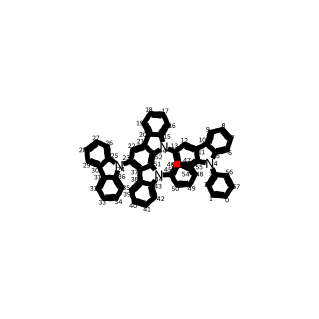 c1ccc(-n2c3ccccc3c3cc(-n4c5ccccc5c5cc(-n6c7ccccc7c7ccccc76)c6c7ccccc7n(-c7ccccc7)c6c54)ccc32)cc1